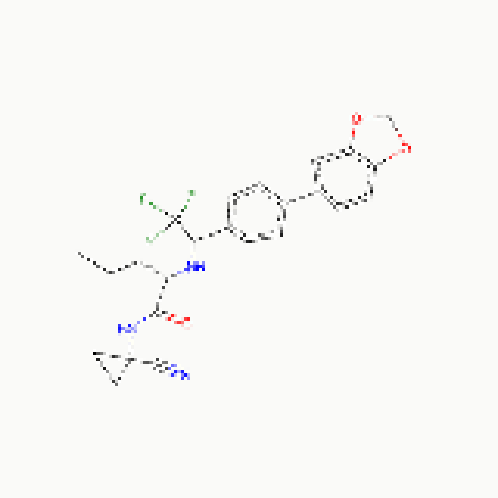 CCC[C@H](N[C@@H](c1ccc(-c2ccc3c(c2)OCO3)cc1)C(F)(F)F)C(=O)NC1(C#N)CC1